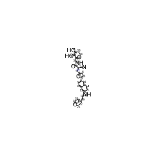 N#C/C(=C\c1ccc(-c2ccc3cc(NCCN4CCOCC4)ccc3c2)o1)C(=O)NC[C@H]1OCC[C@@H](O)[C@@H]1O